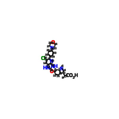 CC(C(=O)O)c1cn(C)c2cc(OC3Nc4cc(Cl)c(-c5ccc(N6CCOCC6)cc5)nc4N3)ccc12